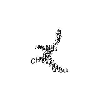 CC(C)(C)OC(=O)N1CCC(C(OC=O)[n+]2ccc(N(CCCCCCOc3ccc(Cl)cc3)C(N)=NC#N)cc2)CC1.[I-]